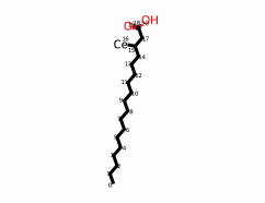 CCCCCCCCCCCCCCC[CH]([Ce])CC(=O)O